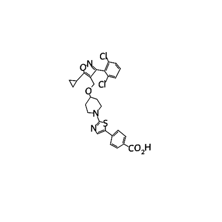 O=C(O)c1ccc(-c2cnc(N3CCC(OCc4c(-c5c(Cl)cccc5Cl)noc4C4CC4)CC3)s2)cc1